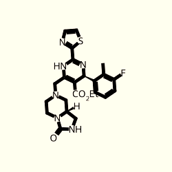 CCOC(=O)C1=C(CN2CCN3C(=O)NC[C@H]3C2)NC(c2nccs2)=N[C@H]1c1cccc(F)c1C